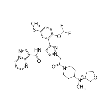 CSc1ccc(OC(F)F)c(-c2nn(CC(=O)N3CCC(N(C)[C@H]4CCOC4)CC3)cc2NC(=O)c2cnn3cccnc23)c1